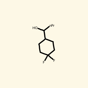 CCCC(O)C1CCC(F)(F)CC1